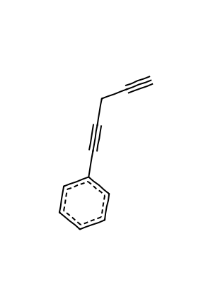 C#CCC#Cc1ccccc1